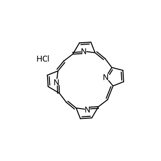 C1=CC2=NC1=CC1=NC(=CC3=NC(=CC4=NC(=C2)C=C4)C=C3)C=C1.Cl